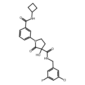 O=C(NC1CCC1)c1cccc(N2CCC(O)(C(=O)NCc3cc(F)cc(Cl)c3)C2=O)c1